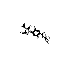 CCc1nn(-c2cc(F)c(C(=O)OC(C)(C)C)cc2F)c(=O)n1C1CC1